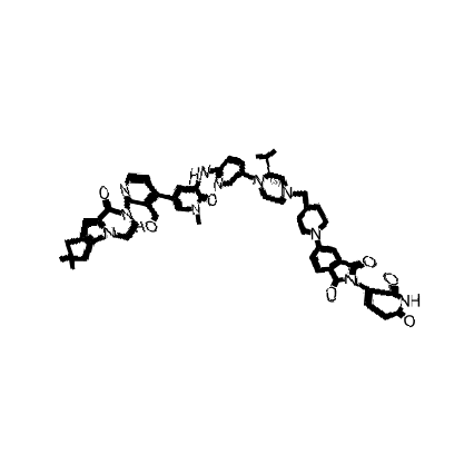 CC(C)[C@H]1CN(CC2CCN(c3ccc4c(c3)C(=O)N(C3CCC(=O)NC3=O)C4=O)CC2)CCN1c1ccc(Nc2cc(-c3ccnc(N4CCn5c(cc6c5CC(C)(C)C6)C4=O)c3CO)cn(C)c2=O)nc1